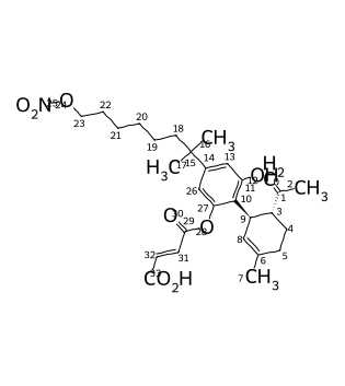 C=C(C)[C@@H]1CCC(C)=C[C@H]1c1c(O)cc(C(C)(C)CCCCCCO[N+](=O)[O-])cc1OC(=O)/C=C/C(=O)O